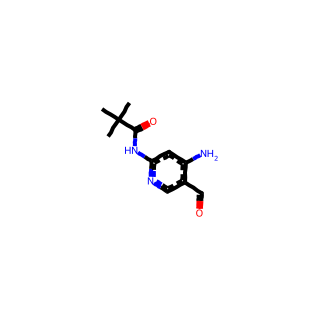 CC(C)(C)C(=O)Nc1cc(N)c(C=O)cn1